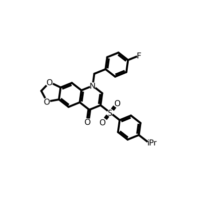 CC(C)c1ccc(S(=O)(=O)c2cn(Cc3ccc(F)cc3)c3cc4c(cc3c2=O)OCO4)cc1